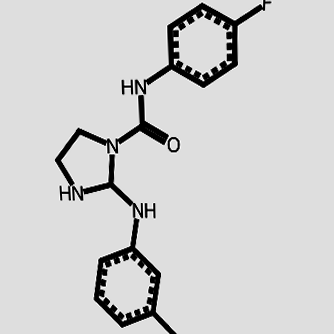 Cc1cccc(NC2NCCN2C(=O)Nc2ccc(F)cc2)c1